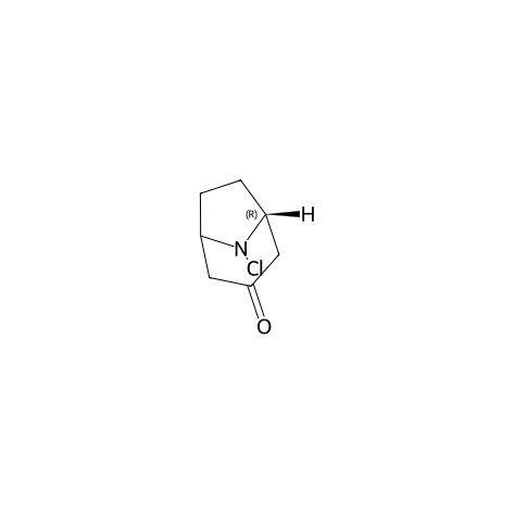 O=C1CC2CC[C@H](C1)N2Cl